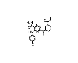 C=CC(=O)N1CCC[C@@H](Nc2nnc(C(N)=O)c(Nc3ccc(Cl)cc3)n2)C1